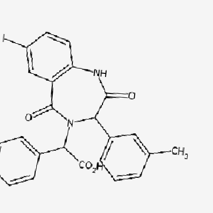 Cc1cccc(C2C(=O)Nc3ccc(I)cc3C(=O)N2C(C(=O)O)c2ccccc2)c1